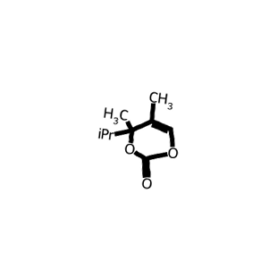 CC1=COC(=O)OC1(C)C(C)C